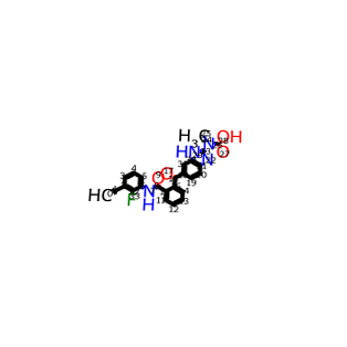 C#Cc1cccc(NC(=O)c2ccccc2C(=O)c2ccc3nc(N(C)C(=O)O)[nH]c3c2)c1F